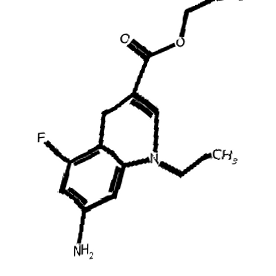 CCOC(=O)C1=CN(CC)c2cc(N)cc(F)c2C1